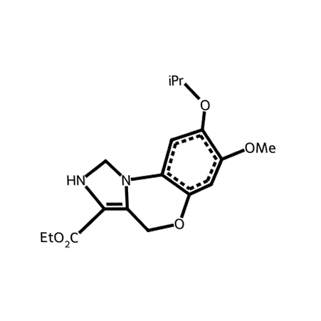 CCOC(=O)C1=C2COc3cc(OC)c(OC(C)C)cc3N2CN1